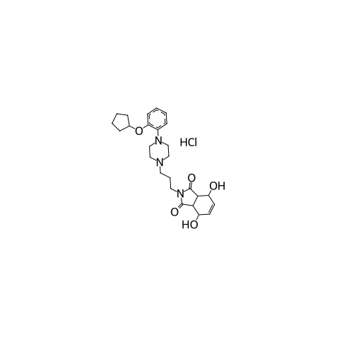 Cl.O=C1C2C(O)C=CC(O)C2C(=O)N1CCCN1CCN(c2ccccc2OC2CCCC2)CC1